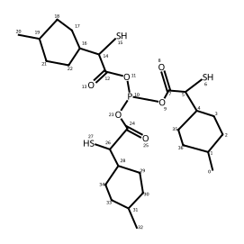 CC1CCC(C(S)C(=O)OP(OC(=O)C(S)C2CCC(C)CC2)OC(=O)C(S)C2CCC(C)CC2)CC1